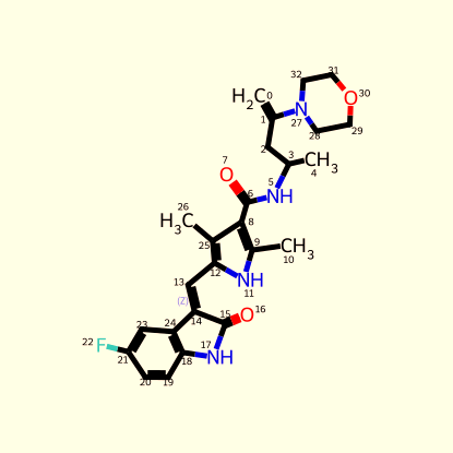 C=C(CC(C)NC(=O)c1c(C)[nH]c(/C=C2\C(=O)Nc3ccc(F)cc32)c1C)N1CCOCC1